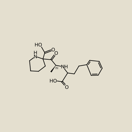 C[C@H](NC(CCc1ccccc1)C(=O)O)C(=O)C1(C(=O)O)CCCCN1